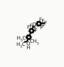 CCC(O)c1c(C)cc(-c2cc(F)c(C(F)(F)Oc3cc(F)c(C(F)(F)F)c(F)c3)c(F)c2)cc1C